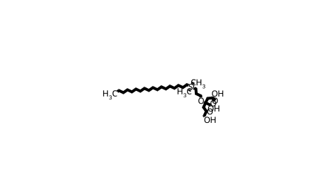 CCCCCCCCCCCCCCCCCC[Si](C)(C)CCCOC(CC(=O)O)(CC(=O)CO)C(=O)O